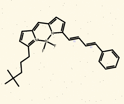 CC(C)(C)CCCC1=[N+]2C(=Cc3ccc(/C=C/C=C/c4ccccc4)n3[B-]2(F)F)C=C1